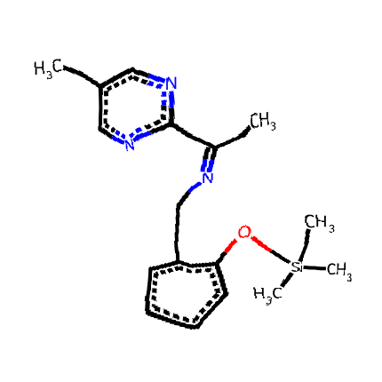 CC(=NCc1ccccc1O[Si](C)(C)C)c1ncc(C)cn1